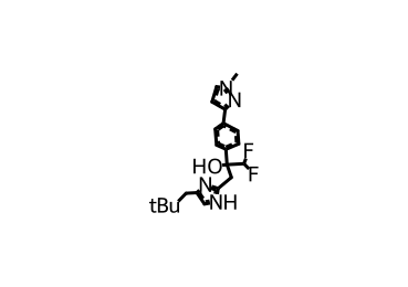 Cn1ccc(-c2ccc(C(O)(Cc3nc(CC(C)(C)C)c[nH]3)C(F)F)cc2)n1